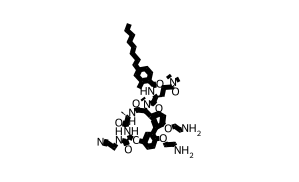 CCCCCCCCc1ccc(C(=O)N[C@@H](CCC(=O)N(C)C)C(=O)N(C)[C@@H]2C(=O)N[C@@H](C)C(=O)N[C@H](C(=O)NCC#N)Cc3ccc(OCCN)c(c3)-c3cc2ccc3OCCN)c(C)c1